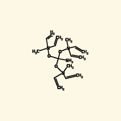 C=C[Si](C)(C=C)OC([SiH3])(O[Si](C)(C=C)C=C)O[Si](C)(C=C)C=C